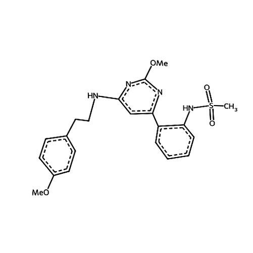 COc1ccc(CCNc2cc(-c3ccccc3NS(C)(=O)=O)nc(OC)n2)cc1